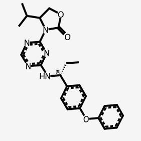 CC[C@@H](Nc1ncnc(N2C(=O)OCC2C(C)C)n1)c1ccc(Oc2ccccc2)cc1